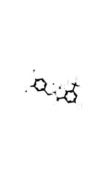 COc1ccc(CN2C(=O)c3cc(Cl)cc(C(F)(F)F)c3N=S2C)cc1OC